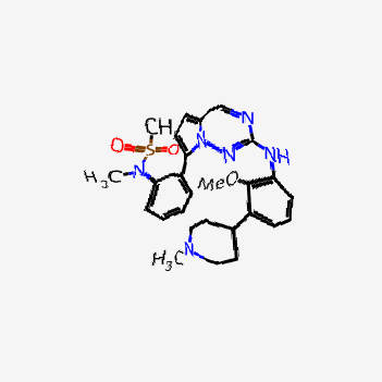 COc1c(Nc2ncc3ccc(-c4ccccc4N(C)S(C)(=O)=O)n3n2)cccc1C1CCN(C)CC1